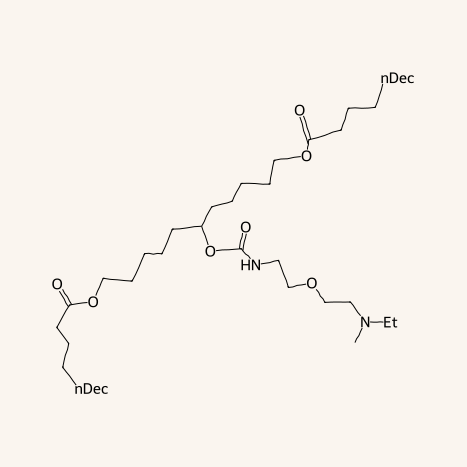 CCCCCCCCCCCCCC(=O)OCCCCCC(CCCCCOC(=O)CCCCCCCCCCCCC)OC(=O)NCCOCCN(C)CC